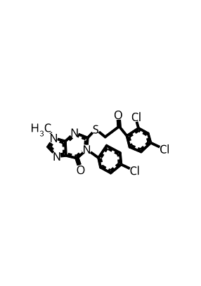 Cn1cnc2c(=O)n(-c3ccc(Cl)cc3)c(SCC(=O)c3ccc(Cl)cc3Cl)nc21